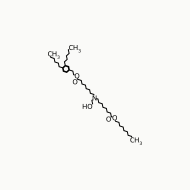 CCCCCCCCCOC(=O)CCCCCCCN(CCO)CCCCCCCC(=O)OCCc1ccc(CCCCCC)c(CCCCCC)c1